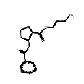 CCCCOC(=O)C1CCCC1OC(=O)c1ccccc1